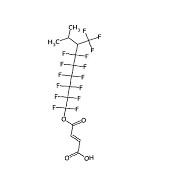 CC(C)C(C(F)(F)F)C(F)(F)C(F)(F)C(F)(F)C(F)(F)C(F)(F)C(F)(F)OC(=O)C=CC(=O)O